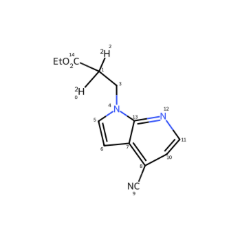 [2H]C([2H])(Cn1ccc2c(C#N)ccnc21)C(=O)OCC